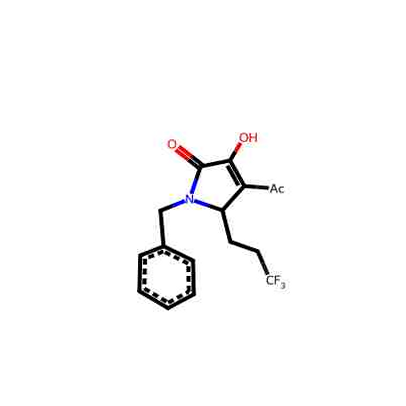 CC(=O)C1=C(O)C(=O)N(Cc2ccccc2)C1CCC(F)(F)F